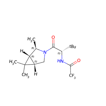 C[C@@H]1[C@@H]2[C@H](CN1C(=O)[C@@H](NC(=O)C(F)(F)F)C(C)(C)C)C2(C)C